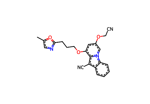 Cc1cnc(CCCOc2cc(OCC#N)cn3c2c(C#N)c2ccccc23)o1